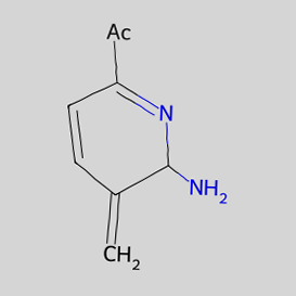 C=C1C=CC(C(C)=O)=NC1N